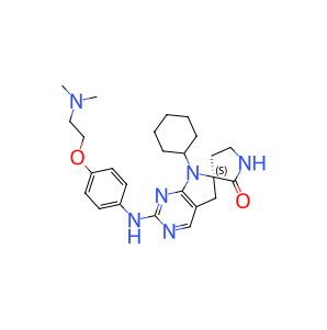 CN(C)CCOc1ccc(Nc2ncc3c(n2)N(C2CCCCC2)[C@]2(CCNC2=O)C3)cc1